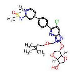 C[Si](C)(C)CCOCn1c(O[C@@H]2CO[C@H]3[C@@H]2OC[C@H]3O)nc2cc(Cl)c(-c3ccc(-c4ccnc(N=S(C)(C)=O)c4)cc3)nc21